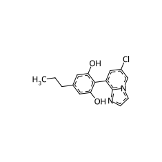 CCCc1cc(O)c(-c2cc(Cl)cn3ccnc23)c(O)c1